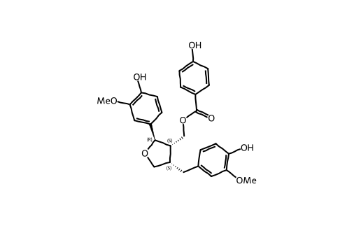 COc1cc(C[C@@H]2CO[C@@H](c3ccc(O)c(OC)c3)[C@@H]2COC(=O)c2ccc(O)cc2)ccc1O